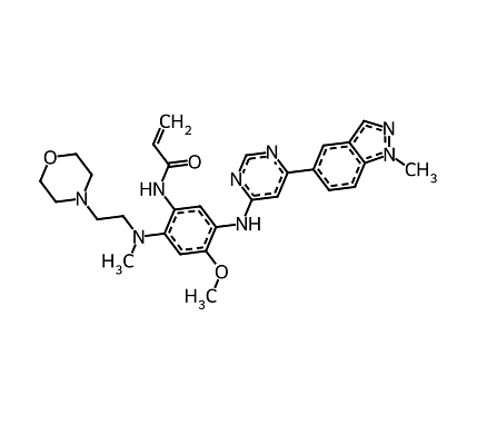 C=CC(=O)Nc1cc(Nc2cc(-c3ccc4c(cnn4C)c3)ncn2)c(OC)cc1N(C)CCN1CCOCC1